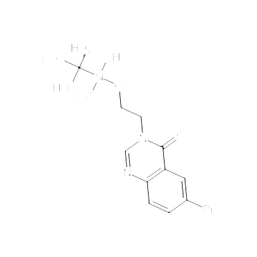 CC(C)(C)[Si](C)(C)OCCn1cnc2ccc(Br)cc2c1=O